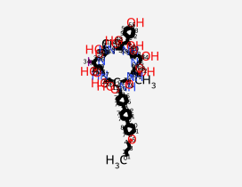 CCCCCOc1ccc(-c2ccc(-c3ccc(C(=O)NC4CC(O)C(O)NC(=O)C5C(O)C(I)CN5C(=O)C([C@H](C)O)NC(=O)C(C(O)C(O)c5ccc(O)cc5)NC(=O)C5CC(O)CN5C(=O)C(C(C)O)NC4=O)cc3)cc2)cc1